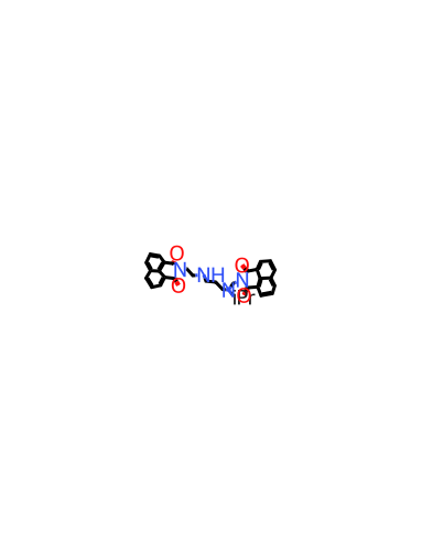 CC(C)N(CCCNCCN1C(=O)c2cccc3cccc(c23)C1=O)CN1C(=O)c2cccc3cccc(c23)C1=O